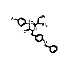 CC(=O)c1ccc(NC(=O)C(Cc2ccc(OCc3ccccc3)cc2)NC(=O)C(N)CC(C)C)cc1